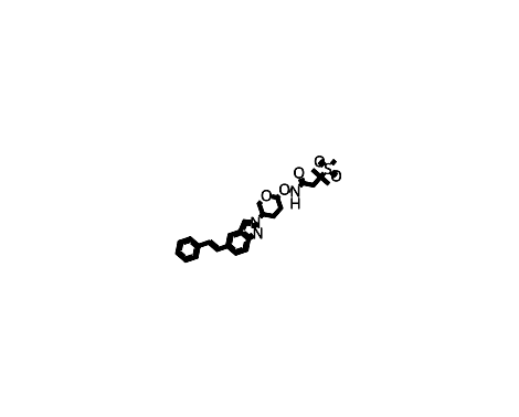 CC(C)(CC(=O)NOC1CCC(n2cc3cc(C=Cc4ccccc4)ccc3n2)CO1)S(C)(=O)=O